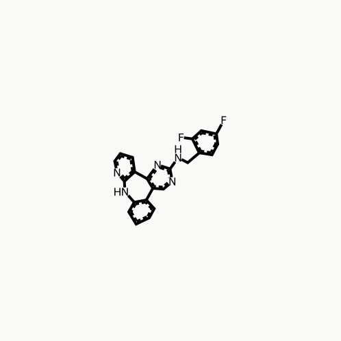 Fc1ccc(CNc2ncc3c(n2)-c2cccnc2Nc2ccccc2-3)c(F)c1